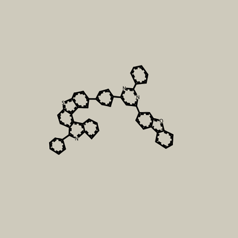 c1ccc(-c2nc(-c3ccc(-c4ccc5sc6ccc7c(-c8ccccc8)nc8ccccc8c7c6c5c4)cc3)cc(-c3ccc4c(c3)oc3ccccc34)n2)cc1